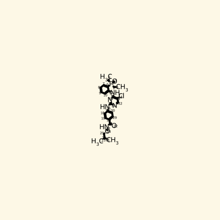 CCP(=O)(CC)c1ccccc1Nc1nc(Nc2ccc(C(=O)NOCC(C)C)cc2)ncc1Cl